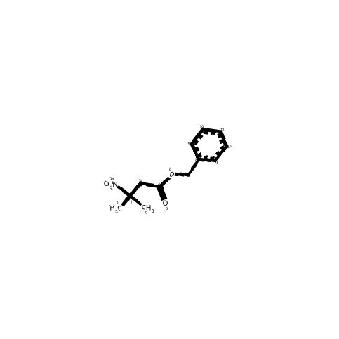 CC(C)(CC(=O)OCc1ccccc1)[N+](=O)[O-]